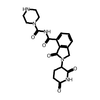 O=C1CCC(N2Cc3cccc(C(=O)NC(=O)N4CCNCC4)c3C2=O)C(=O)N1